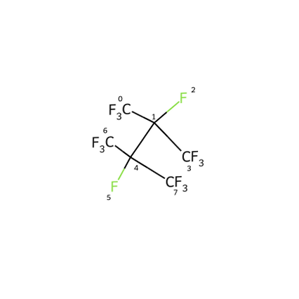 FC(F)(F)C(F)(C(F)(F)F)C(F)(C(F)(F)F)C(F)(F)F